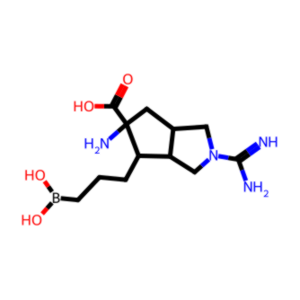 N=C(N)N1CC2CC(N)(C(=O)O)C(CCCB(O)O)C2C1